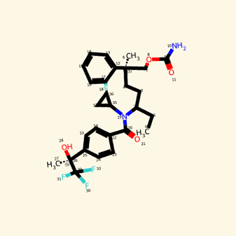 CCC(CC[C@](C)(COC(N)=O)c1ccccc1F)N(C(=O)c1ccc([C@](C)(O)C(F)(F)F)cc1)C1CC1